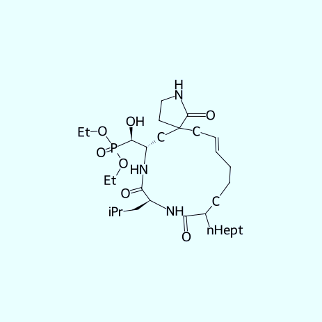 CCCCCCCC1CCC/C=C/CC2(CCNC2=O)C[C@@H]([C@H](O)P(=O)(OCC)OCC)NC(=O)[C@H](CC(C)C)NC1=O